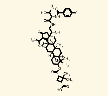 CC(C)C1=C2[C@H]3CC[C@@H]4[C@@]5(C)CC[C@H](OC(=O)[C@H]6C[C@@H](C(=O)O)C6(C)C)C(C)(C)[C@@H]5CC[C@@]4(C)[C@]3(C)CC[C@@]2([C@@H](O)CNC(=O)[C@@H](NC(=O)c2ccc(Cl)cc2)C(C)O)CC1=O